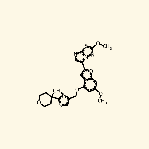 COc1cc(OCc2csc(C3(C)CCOCC3)n2)c2cc(-c3cnc4sc(OC)nn34)oc2c1